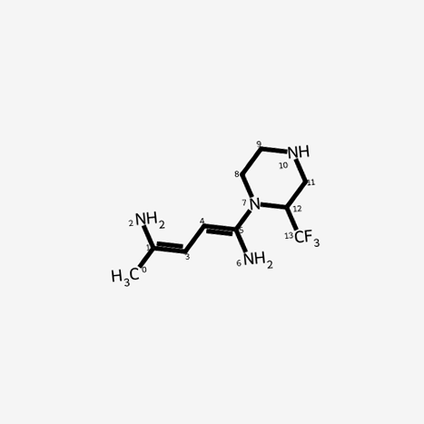 C/C(N)=C/C=C(\N)N1CCNCC1C(F)(F)F